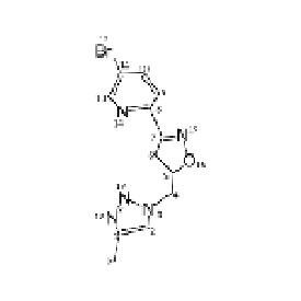 Cc1cn(CC2CC(c3ccc(Br)cn3)=NO2)nn1